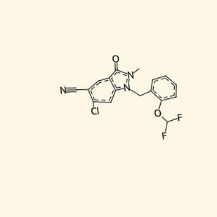 Cn1c(=O)c2cc(C#N)c(Cl)cc2n1Cc1ccccc1OC(F)F